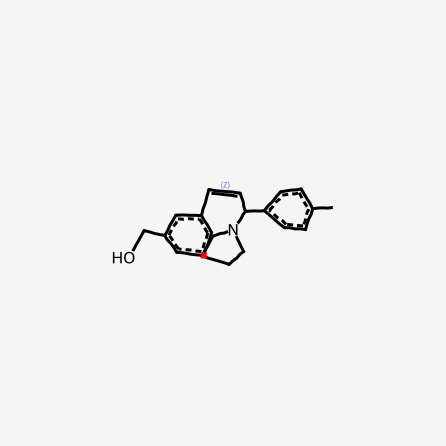 Cc1ccc(C(/C=C\c2cccc(CO)c2)N2CCCC2)cc1